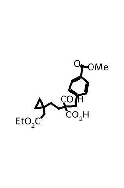 CCOC(=O)CC1(CCC(Cc2ccc(C(=O)OC)cc2)(C(=O)O)C(=O)O)CC1